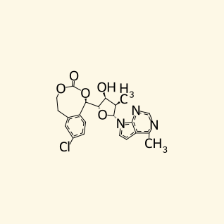 Cc1ncnc2c1ccn2[C@@H]1O[C@H]([C@@H]2OC(=O)OCCc3cc(Cl)ccc32)[C@@H](O)[C@H]1C